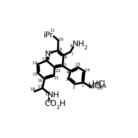 Cc1ccc(-c2c(CN)c(CC(C)C)nc3ccc(C(C)NC(=O)O)cc23)cc1.Cl.Cl